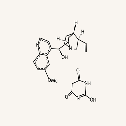 C=C[C@H]1C[N@]2CC[C@H]1C[C@@H]2[C@@H](O)c1ccnc2ccc(OC)cc12.O=C1CC(=O)NC(O)=N1